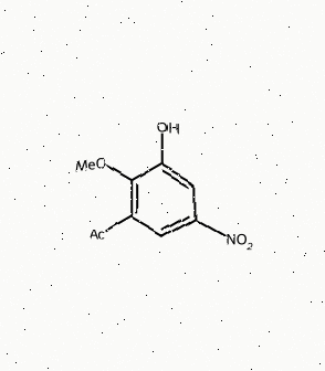 COc1c(O)cc([N+](=O)[O-])cc1C(C)=O